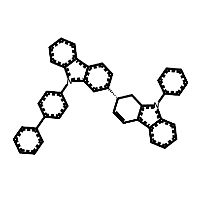 C1=C[C@H](c2ccc3c4ccccc4n(-c4ccc(-c5ccccc5)cc4)c3c2)Cc2c1c1ccccc1n2-c1ccccc1